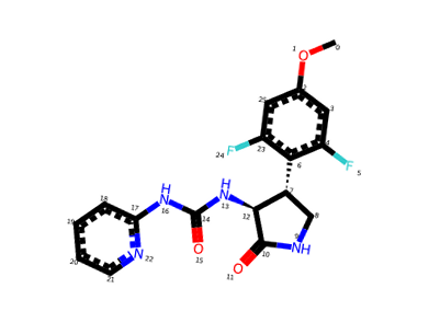 COc1cc(F)c([C@@H]2CNC(=O)[C@H]2NC(=O)Nc2ccccn2)c(F)c1